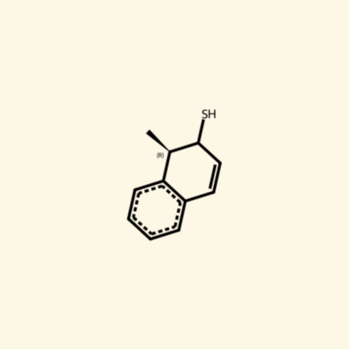 C[C@@H]1c2ccccc2C=CC1S